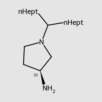 CCCCCCCC(CCCCCCC)N1CC[C@H](N)C1